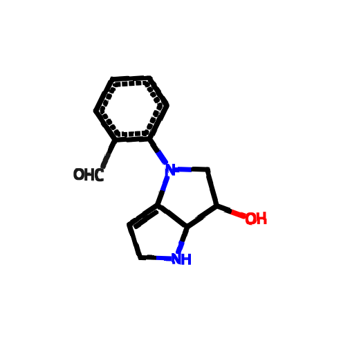 O=Cc1ccccc1N1CC(O)C2NCC=C21